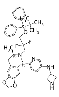 C[C@@H]1Cc2cc3c(cc2[C@@H](c2ccc(NC4CNC4)cn2)N1CC(F)(F)CO[Si](c1ccccc1)(c1ccccc1)C(C)(C)C)OCO3